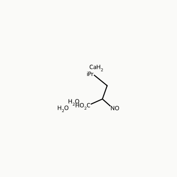 CC(C)CC(N=O)C(=O)O.O.O.[CaH2]